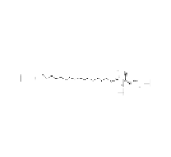 CCCCCCCCCCCCCCCCCC(=O)NC(CCS)C(=O)O